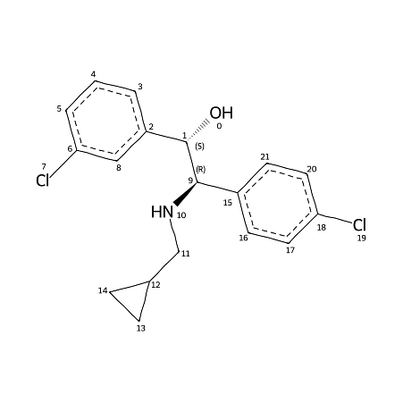 O[C@@H](c1cccc(Cl)c1)[C@H](NCC1CC1)c1ccc(Cl)cc1